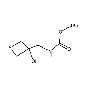 CC(C)(C)OC(=O)NCC1(O)CSC1